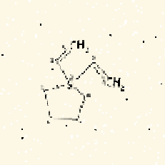 C=C[Si]1(C=C)CCCC1